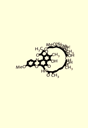 COc1ccc2nc3c4c5c6c(C)c(O)c4c(=O)c(c-3oc2c1)NC(=O)/C(C)=C\C=C\[C@H](C)[C@H](O)C[C@@H](O)[C@@H](C)[C@H](OC(C)=O)[C@H](C)[C@@H](OC)/C=C/O[C@@](C)(O6)C5=O